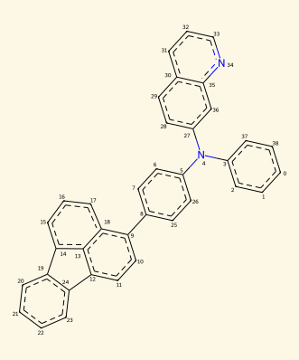 c1ccc(N(c2ccc(-c3ccc4c5c(cccc35)-c3ccccc3-4)cc2)c2ccc3cccnc3c2)cc1